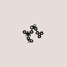 C1=c2oc3ccc(-c4ccc5c6ccccc6c6ccccc6c5c4)cc3c2=C(c2cccc(-c3nc(-c4ccccc4)nc(-c4ccc5sc6ccccc6c5c4)n3)c2)CC1